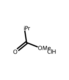 COC(=O)C(C)C.Cl